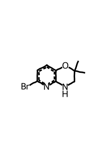 CC1(C)CNc2nc(Br)ccc2O1